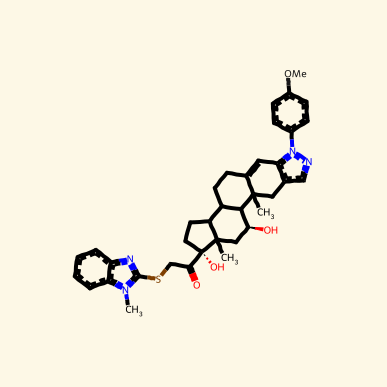 COc1ccc(-n2ncc3c2C=C2CCC4C([C@@H](O)CC5(C)C4CC[C@]5(O)C(=O)CSc4nc5ccccc5n4C)C2(C)C3)cc1